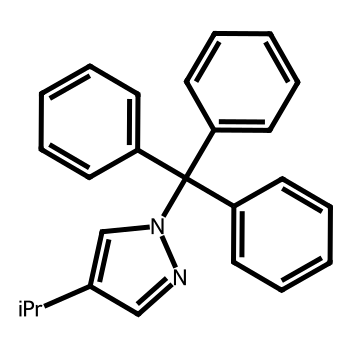 CC(C)c1cnn(C(c2ccccc2)(c2ccccc2)c2ccccc2)c1